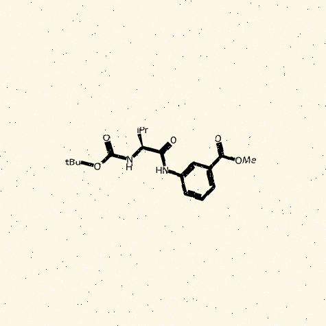 COC(=O)c1cccc(NC(=O)[C@@H](NC(=O)OC(C)(C)C)C(C)C)c1